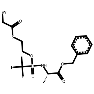 CC(C)CC(=O)SCCOP(=O)(N[C@@H](C)C(=O)OCc1ccccc1)C(C)(F)F